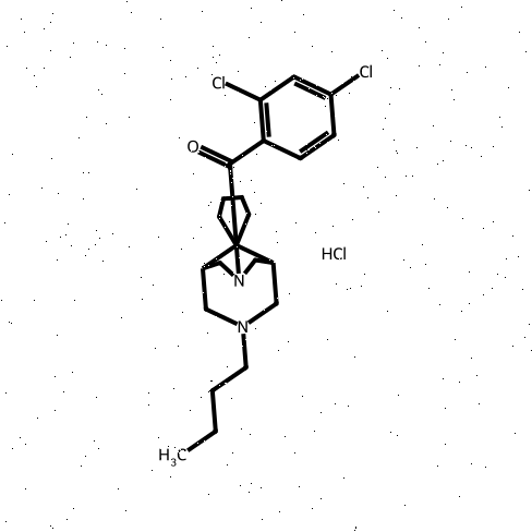 CCCCN1CC2CN(C(=O)c3ccc(Cl)cc3Cl)CC(C1)C21CCCC1.Cl